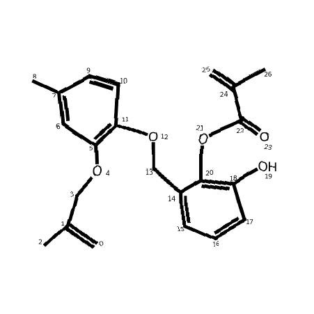 C=C(C)COc1cc(C)ccc1OCc1cccc(O)c1OC(=O)C(=C)C